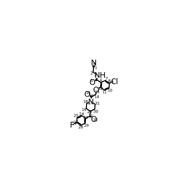 N#CCNC(=O)c1cc(Cl)ccc1OCC(=O)N1CCC(C(=O)c2ccc(F)cc2)CC1